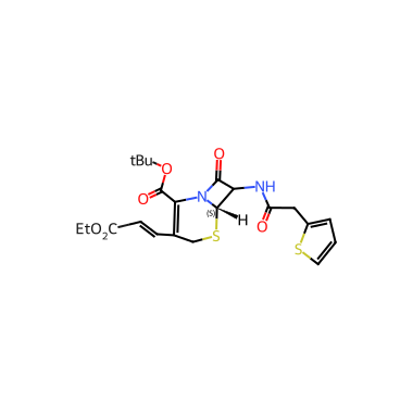 CCOC(=O)C=CC1=C(C(=O)OC(C)(C)C)N2C(=O)C(NC(=O)Cc3cccs3)[C@@H]2SC1